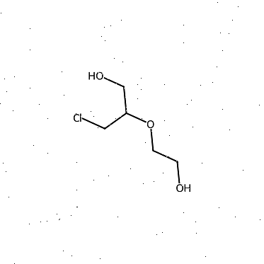 OCCOC(CO)CCl